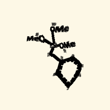 CO[Si](Cc1c[c]ccc1)(OC)OC